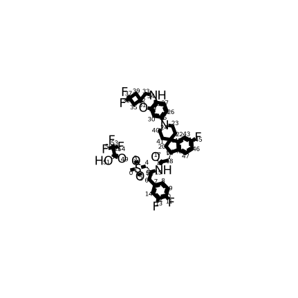 CS(=O)(=O)C[C@@H](Cc1ccc(F)c(F)c1)NC(=O)C[C@@H]1CC2(CCN(c3ccc4c(c3)OC3(CN4)CC(F)(F)C3)CC2)c2cc(F)ccc21.O=C(O)C(F)(F)F